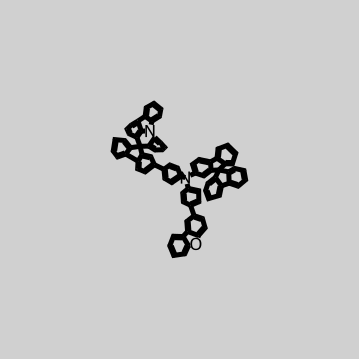 c1ccc2c(c1)-c1ccccc1C21c2ccccc2-c2ccc(N(c3ccc(-c4ccc5c(c4)C4(c6ccccc6-5)c5ccccc5-n5c6ccccc6c6cccc4c65)cc3)c3ccc(-c4ccc5oc6ccccc6c5c4)cc3)cc21